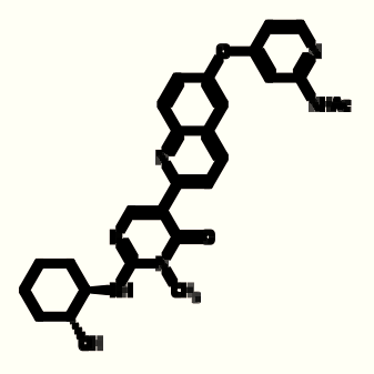 CC(=O)Nc1cc(Oc2ccc3nc(-c4cnc(N[C@@H]5CCCC[C@H]5O)n(C)c4=O)ccc3c2)ccn1